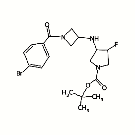 CC(C)(C)OC(=O)N1CC(F)C(NC2CN(C(=O)c3ccc(Br)cc3)C2)C1